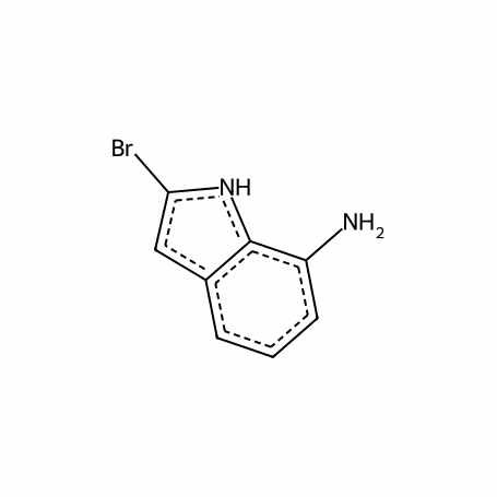 Nc1cccc2cc(Br)[nH]c12